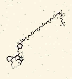 CCc1cnn2c(NCc3ccc(OCCOCCOCCOCCOCCOCCOCCN(C)C(=O)OCC[Si](C)(C)C)nc3)cc(N3CCCCC3CCO)nc12